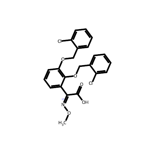 CO/N=C(\C(=O)O)c1cccc(OCc2ccccc2Cl)c1OCc1ccccc1Cl